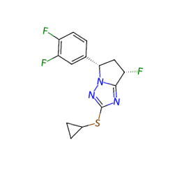 Fc1ccc([C@@H]2C[C@H](F)c3nc(SC4CC4)nn32)cc1F